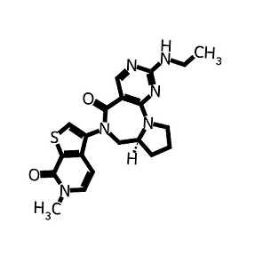 CCNc1ncc2c(n1)N1CCC[C@H]1CN(c1csc3c(=O)n(C)ccc13)C2=O